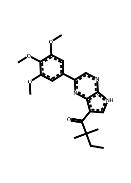 CCC(C)(C)C(=O)c1c[nH]c2ncc(-c3cc(OC)c(OC)c(OC)c3)nc12